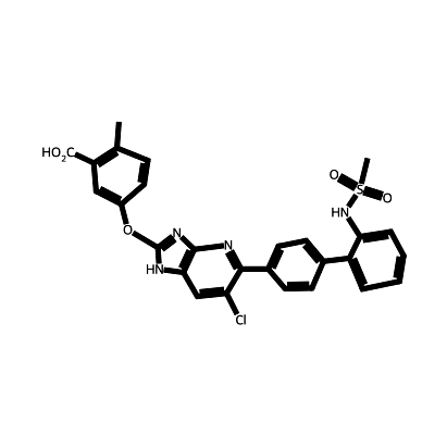 Cc1ccc(Oc2nc3nc(-c4ccc(-c5ccccc5NS(C)(=O)=O)cc4)c(Cl)cc3[nH]2)cc1C(=O)O